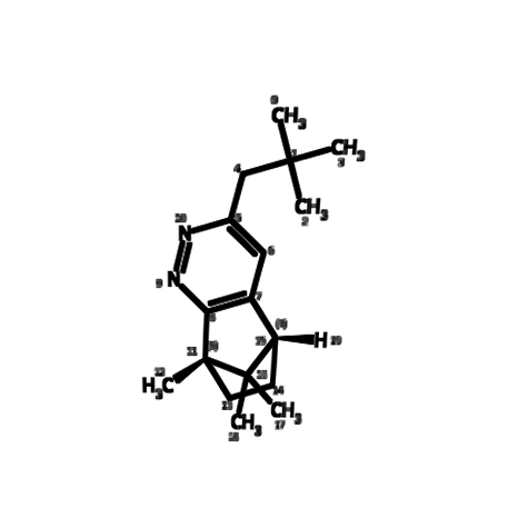 CC(C)(C)Cc1cc2c(nn1)[C@@]1(C)CC[C@@H]2C1(C)C